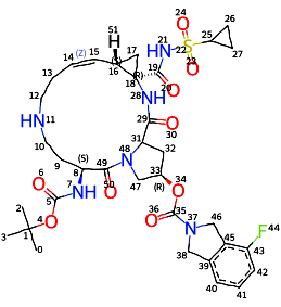 CC(C)(C)OC(=O)N[C@H]1CCNCC/C=C\[C@@H]2C[C@@]2(C(=O)NS(=O)(=O)C2CC2)NC(=O)C2C[C@@H](OC(=O)N3Cc4cccc(F)c4C3)CN2C1=O